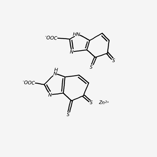 O=C([O-])c1nc2c([nH]1)C=CC(=S)C2=S.O=C([O-])c1nc2c([nH]1)C=CC(=S)C2=S.[Zn+2]